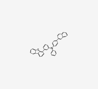 c1ccc(N(c2ccc(-c3ccc4ccccc4c3)cc2)c2cccc(-c3cccc4c3sc3ccccc34)c2)cc1